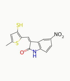 Cc1cc(S)c(/C=C2\C(=O)Nc3ccc([N+](=O)[O-])cc32)s1